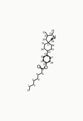 CCCCCCCC(=O)Oc1ccc(C2CCC(C#N)(CC(C)CC)CC2)cc1